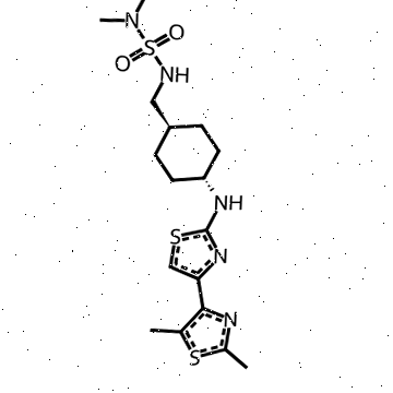 Cc1nc(-c2csc(N[C@H]3CC[C@H](CNS(=O)(=O)N(C)C)CC3)n2)c(C)s1